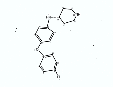 Clc1ccc(Oc2ccc(NC3CCNCC3)cc2)cc1